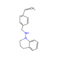 C=Cc1ccc(CNN2CCCc3ccccc32)cc1